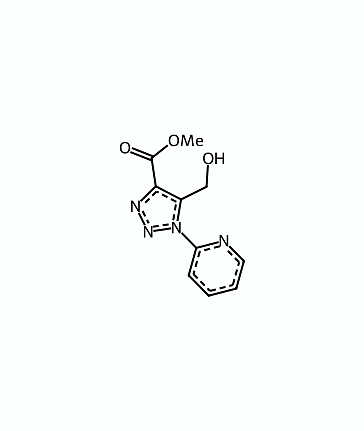 COC(=O)c1nnn(-c2ccccn2)c1CO